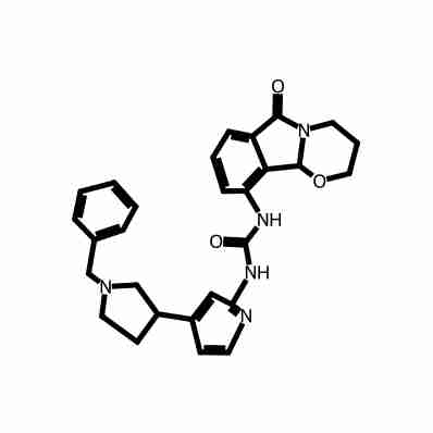 O=C(Nc1cc(C2CCN(Cc3ccccc3)C2)ccn1)Nc1cccc2c1C1OCCCN1C2=O